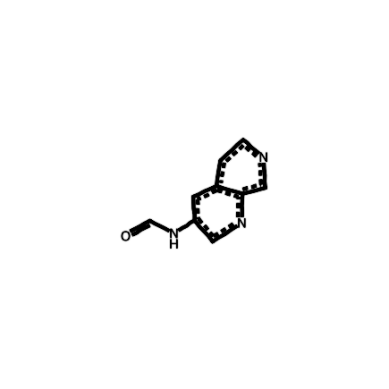 O=CNc1cnc2cnccc2c1